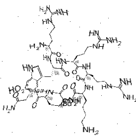 CC[C@H](C)[C@H](NC(=O)[C@H](CCCCN)NC(=O)[C@H](CCCNC(=N)N)NC(=O)[C@H](CCCNC(=N)N)NC(=O)[C@H](Cc1c[nH]c2ccccc12)NC(=O)[C@@H](N)CCCNC(=N)N)C(=O)N[C@@H](CCC(=O)O)C(=O)N[C@@H](CC(N)=O)C(=O)O